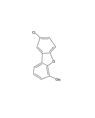 Oc1cccc2c1oc1ccc(Cl)cc12